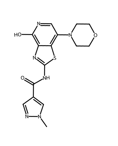 Cn1cc(C(=O)Nc2nc3c(O)ncc(N4CCOCC4)c3s2)cn1